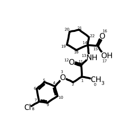 CC(COc1ccc(Cl)cc1)C(=O)NC1(C(=O)O)CCCCC1